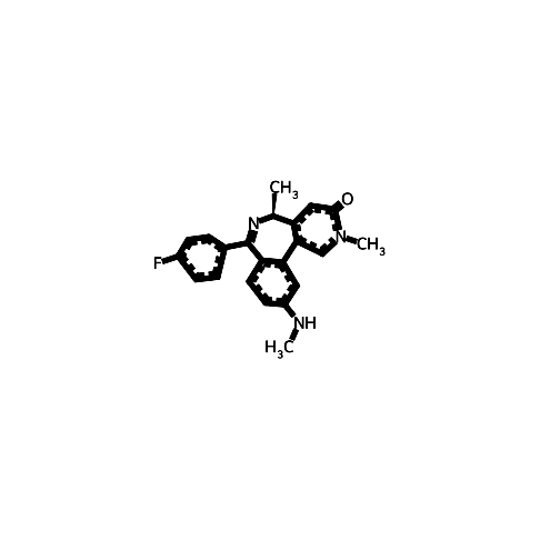 CNc1ccc2c(c1)-c1cn(C)c(=O)cc1[C@H](C)N=C2c1ccc(F)cc1